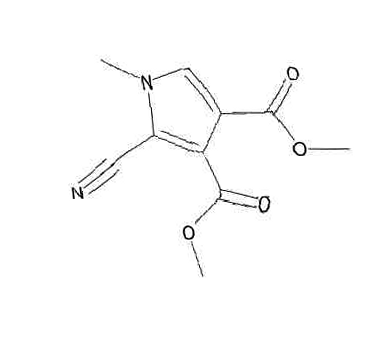 COC(=O)c1cn(C)c(C#N)c1C(=O)OC